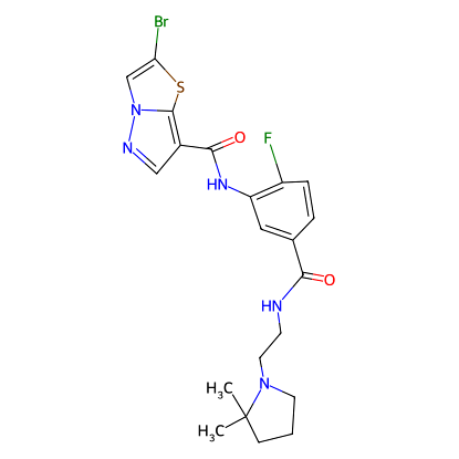 CC1(C)CCCN1CCNC(=O)c1ccc(F)c(NC(=O)c2cnn3cc(Br)sc23)c1